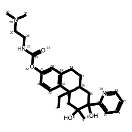 CCC12CC(C)(O)C(O)(c3ccccn3)CC1CCc1cc(OC(=O)NCCN(C)C)ccc12